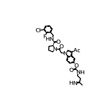 CC(=N)CCNC(=O)Oc1ccc2c(c1)c(C(C)=O)cn2CC(=O)N1CCC[C@H]1C(=O)NCc1cccc(Cl)c1F